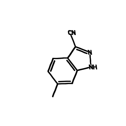 Cc1ccc2c(C#N)n[nH]c2c1